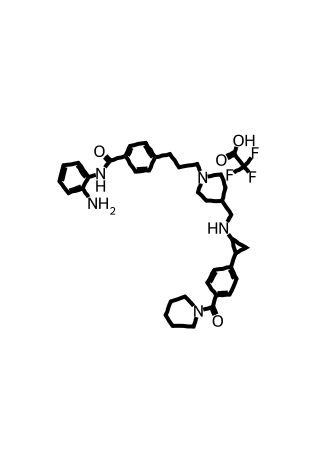 Nc1ccccc1NC(=O)c1ccc(CCCN2CCC(CNC3CC3c3ccc(C(=O)N4CCCCC4)cc3)CC2)cc1.O=C(O)C(F)(F)F